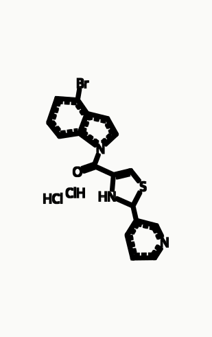 Cl.Cl.O=C(C1=CSC(c2cccnc2)N1)n1ccc2c(Br)cccc21